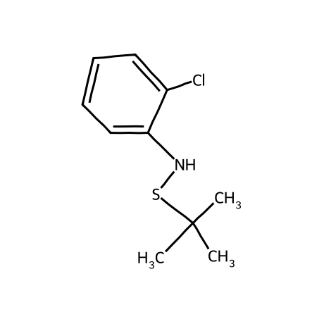 CC(C)(C)SNc1ccccc1Cl